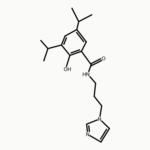 CC(C)c1cc(C(=O)NCCCn2ccnc2)c(O)c(C(C)C)c1